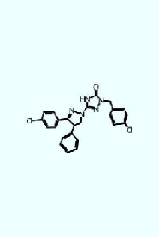 O=c1[nH]c(N2CC(c3ccccc3)C(c3ccc(Cl)cc3)=N2)nn1Cc1ccc(Cl)cc1